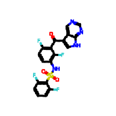 O=C(c1c(F)ccc(NS(=O)(=O)c2c(F)cccc2F)c1F)c1c[nH]c2ncncc12